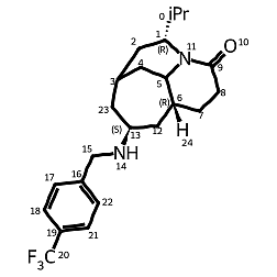 CC(C)[C@H]1CC2CC3[C@H](CCC(=O)N31)C[C@@H](NCc1ccc(C(F)(F)F)cc1)C2